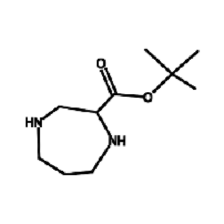 CC(C)(C)OC(=O)C1CNCCCN1